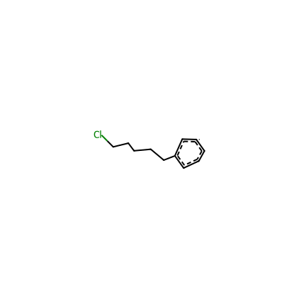 ClCCCCCc1c[c]ccc1